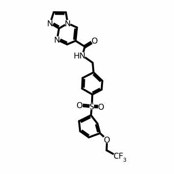 O=C(NCc1ccc(S(=O)(=O)c2cccc(OCC(F)(F)F)c2)cc1)c1cnc2nccn2c1